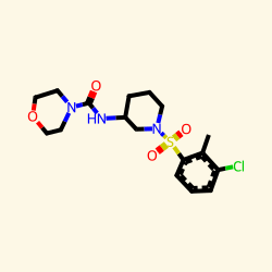 Cc1c(Cl)cccc1S(=O)(=O)N1CCCC(NC(=O)N2CCOCC2)C1